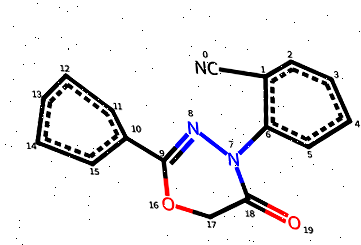 N#Cc1ccccc1N1N=C(c2ccccc2)OCC1=O